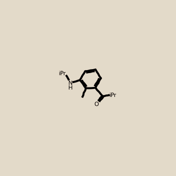 Cc1c(NC(C)C)cccc1C(=O)C(C)C